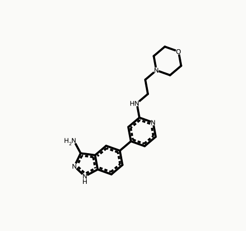 Nc1n[nH]c2ccc(-c3ccnc(NCCN4CCOCC4)c3)cc12